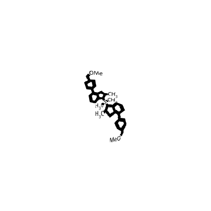 COCc1ccc(-c2cccc3c2CC(C)C3S(C)(C)C2c3cccc(-c4ccc(COC)cc4)c3CC2C)cc1